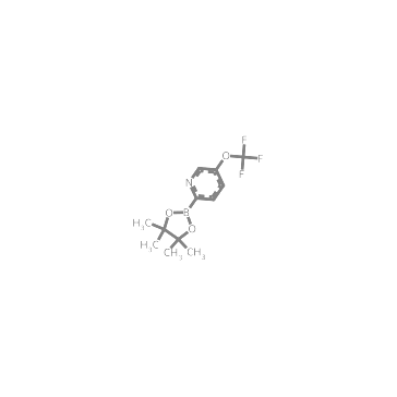 CC1(C)OB(c2ccc(OC(F)(F)F)cn2)OC1(C)C